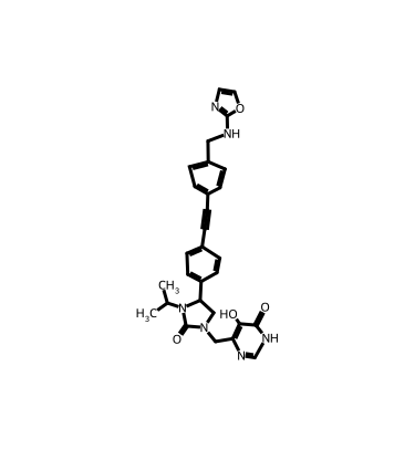 CC(C)N1C(=O)N(Cc2nc[nH]c(=O)c2O)CC1c1ccc(C#Cc2ccc(CNc3ncco3)cc2)cc1